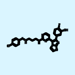 Oc1cc(-c2nc3occn3c2-c2ccnc(NCCCNSc3ccc(Cl)cc3)n2)ccc1F